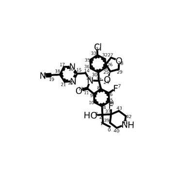 CCC(O)(c1cc(F)c2c(c1)C(=O)N(Cc1ncc(C#N)cn1)[C@@]2(O[C@H]1CCOC1)c1ccc(Cl)cc1)C1(F)CCNCC1